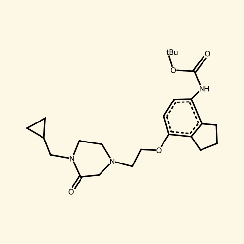 CC(C)(C)OC(=O)Nc1ccc(OCCN2CCN(CC3CC3)C(=O)C2)c2c1CCC2